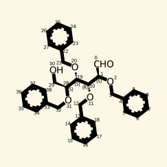 O=C[C@@H](OCc1ccccc1)[C@H](OCc1ccccc1)[C@@H](OCc1ccccc1)[C@H](CO)OCc1ccccc1